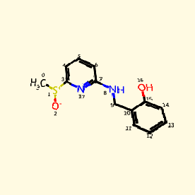 C[S+]([O-])c1cccc(NCc2ccccc2O)n1